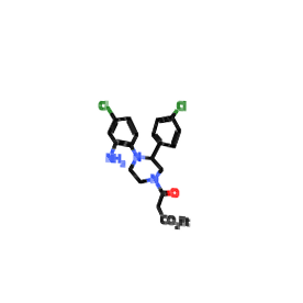 CCOC(=O)CC(=O)N1CCN(c2ccc(Cl)cc2N)C(c2ccc(Cl)cc2)C1